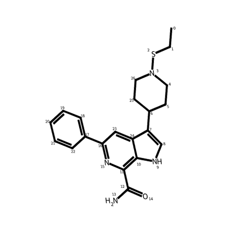 CCSN1CCC(c2c[nH]c3c(C(N)=O)nc(-c4ccccc4)cc23)CC1